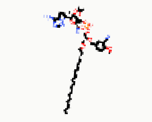 CCCCCCCCCCCCCCCCCCOC[C@H](COP(=O)(O)OC1[C@@]2(C#N)O[C@@H](c3ccc4c(N)ncnn34)[C@@H]3OC(C)(C)O[C@@]132)OCc1ccc(OC)c(C#N)c1